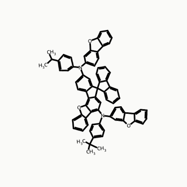 CC(C)c1ccc(N(c2ccc3c(c2)C2(c4ccccc4-c4ccccc42)c2cc(N(c4ccc(C(C)(C)C)cc4)c4ccc5c(c4)oc4ccccc45)c4c(oc5ccccc54)c2-3)c2ccc3c(c2)oc2ccccc23)cc1